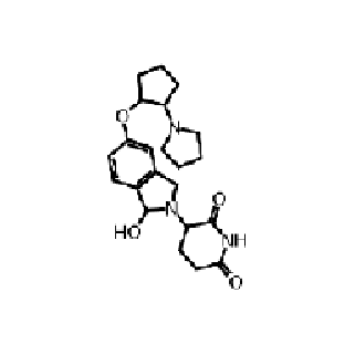 O=C1CCC(N2Cc3cc(OC4CCCC4N4CCCC4)ccc3C2O)C(=O)N1